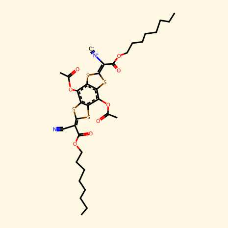 [C-]#[N+]C(C(=O)OCCCCCCCC)=C1Sc2c(OC(C)=O)c3c(c(OC(C)=O)c2S1)SC(=C(C#N)C(=O)OCCCCCCCC)S3